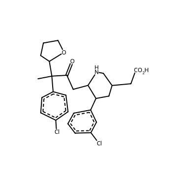 CC(C(=O)CC1NCC(CC(=O)O)CC1c1cccc(Cl)c1)(c1ccc(Cl)cc1)C1CCCO1